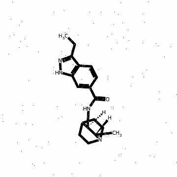 CCc1n[nH]c2cc(C(=O)N[C@@H]3C4CCN(CC4)[C@H]3C)ccc12